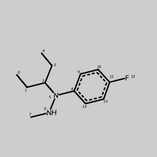 CCC(CC)N(NC)c1ccc(F)cc1